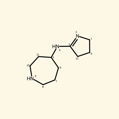 C1CN=C(NC2CCCNCC2)C1